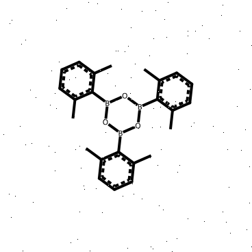 Cc1cccc(C)c1B1OB(c2c(C)cccc2C)OB(c2c(C)cccc2C)O1